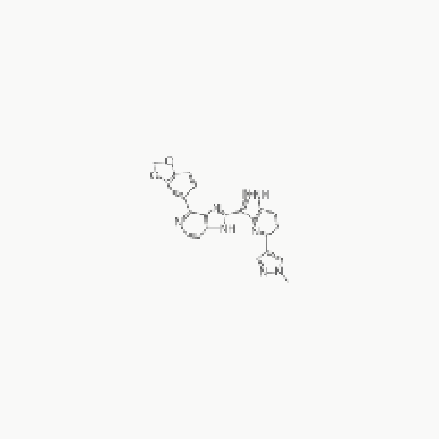 Cn1cc(-c2ccc3[nH]nc(-c4nc5c(-c6ccc7c(c6)OCO7)nccc5[nH]4)c3n2)cn1